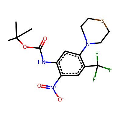 CC(C)(C)OC(=O)Nc1cc(N2CCSCC2)c(C(F)(F)F)cc1[N+](=O)[O-]